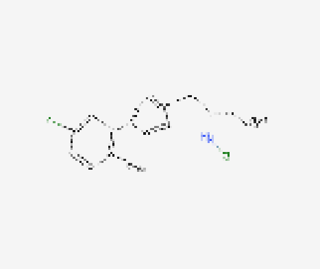 CCOC(=O)C[C@@H](Cc1ccc(-c2cc(Cl)ccc2OC)cc1)NCl